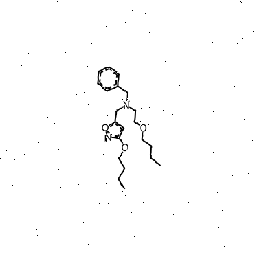 CCCCOCCN(Cc1ccccc1)Cc1cc(OCCCC)no1